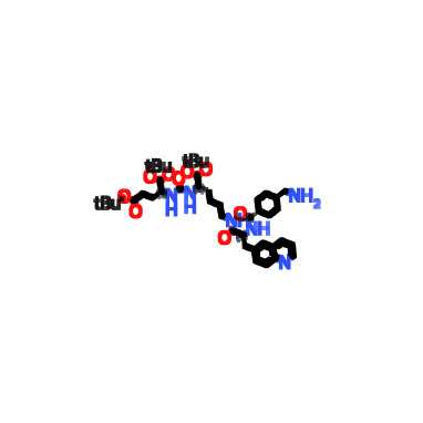 CC(C)(C)OC(=O)CC[C@H](NC(=O)N[C@@H](CCCCNC(=O)[C@H](Cc1ccc2ncccc2c1)NC(=O)[C@H]1CC[C@H](CN)CC1)C(=O)OC(C)(C)C)C(=O)OC(C)(C)C